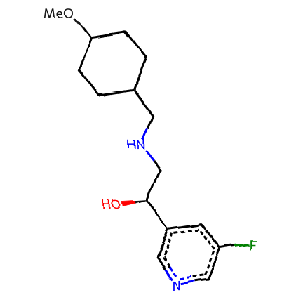 COC1CCC(CNC[C@H](O)c2cncc(F)c2)CC1